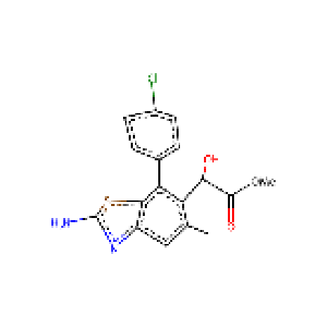 COC(=O)C(O)c1c(C)cc2nc(N)sc2c1-c1ccc(Cl)cc1